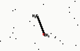 CCCCCCCCCCCCCCCCCCOC